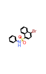 O=S(=O)(Nc1ccccc1)c1ccc(Br)c2ccccc12